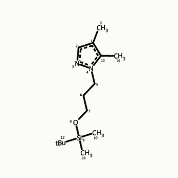 Cc1cnn(CCCO[Si](C)(C)C(C)(C)C)c1C